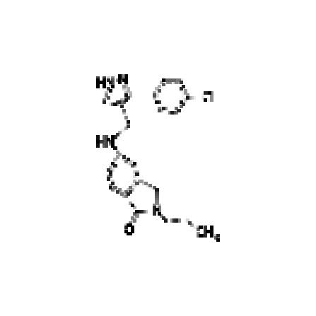 CCCN1Cc2cc(NCc3c[nH]nc3-c3ccc(Cl)cc3)ccc2C1=O